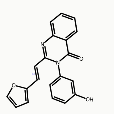 O=c1c2ccccc2nc(/C=C/c2ccco2)n1-c1cccc(O)c1